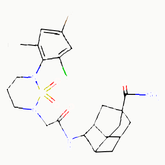 Cc1cc(Br)cc(Cl)c1N1CCCN(CC(=O)NC2C3CC4CC2CC(C(N)=O)(C4)C3)S1(=O)=O